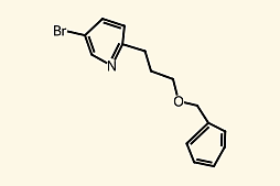 Brc1ccc(CCCOCc2ccccc2)nc1